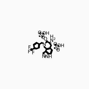 CS(=O)(=O)O.CS(=O)(=O)O.N[C@@H]1Cc2ccc3[nH]ncc3c2CN(Cc2ccc(C(F)(F)F)cc2)C1=O